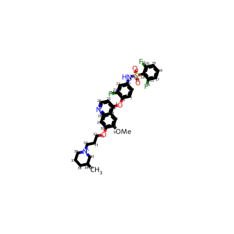 COc1cc2c(Oc3ccc(NS(=O)(=O)c4c(F)cccc4F)cc3F)ccnc2cc1OCCCN1CCCC(C)C1